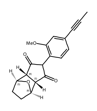 CC#Cc1ccc(C2C(=O)[C@@H]3[C@H](C2=O)[C@H]2CC[C@@H]3O2)c(OC)c1